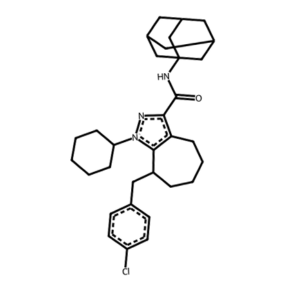 O=C(NC12CC3CC(CC(C3)C1)C2)c1nn(C2CCCCC2)c2c1CCCCC2Cc1ccc(Cl)cc1